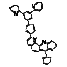 c1ccc(-c2c3ccccc3nc3c2ccc2ccc(-c4ccc(-c5cc(-c6ccccn6)cc(-c6ccccn6)c5)cc4)nc23)cc1